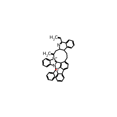 C=CC1=NC2CC(=C)[n+]3c(n(Cc4ccccc4)c4ccccc43)-c3c(ccc4c3oc3ccccc34)CCC2c2ccccc21